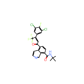 CC(C)(C)NC(=O)c1ccc(C(=O)C=C(c2cc(Cl)c(F)c(Cl)c2)C(F)(F)F)c2ccncc12